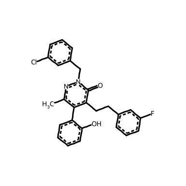 Cc1nn(Cc2cccc(Cl)c2)c(=O)c(CCc2cccc(F)c2)c1-c1ccccc1O